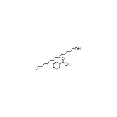 CCCCCCCCCCCCCCO.O=C(O)c1ccccc1